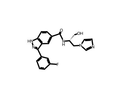 O=C(N[C@H](CO)Cn1ccnc1)c1ccc2[nH]nc(-c3cccc(F)c3)c2c1